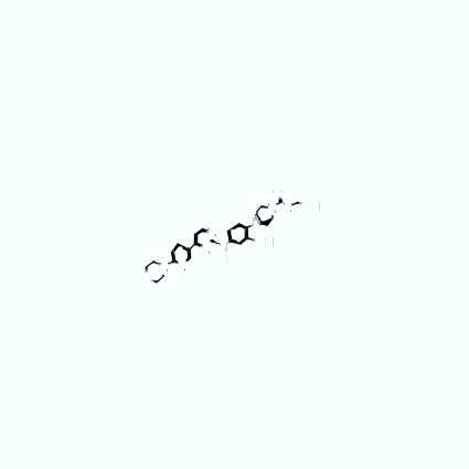 CCNC(=O)N1CC2CC1CN2c1ccc(Nc2nccc(-c3ccc(N4CCOCC4)nc3)n2)cc1C